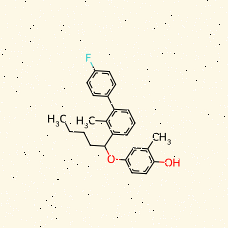 CCCCC(Oc1ccc(O)c(C)c1)c1cccc(-c2ccc(F)cc2)c1C